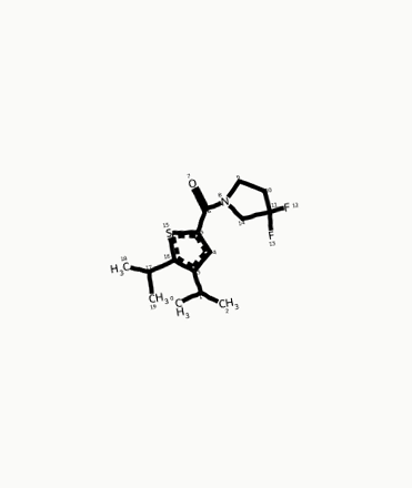 CC(C)c1cc(C(=O)N2CCC(F)(F)C2)sc1C(C)C